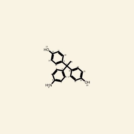 CC(c1ccc(N)cc1)(c1ccc(O)cc1)c1ccc(O)cc1